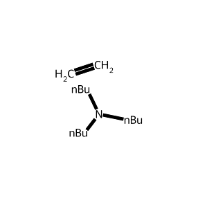 C=C.CCCCN(CCCC)CCCC